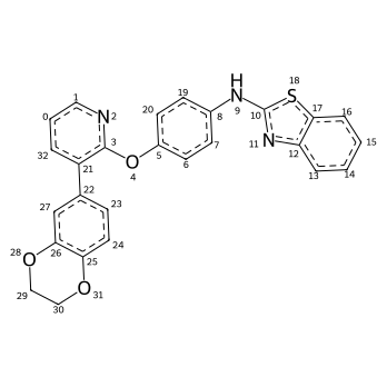 c1cnc(Oc2ccc(Nc3nc4ccccc4s3)cc2)c(-c2ccc3c(c2)OCCO3)c1